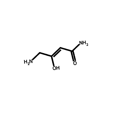 NC/C(O)=C/C(N)=O